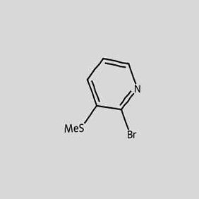 CSc1cccnc1Br